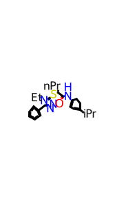 CCCC(Sc1nnc(-c2ccccc2)n1CC)C(=O)NC1=CC=C(C(C)C)CC1